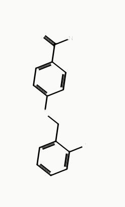 CC(=O)c1ccccc1COc1ccc(C(N)=O)cc1